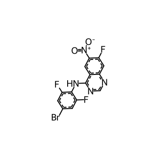 O=[N+]([O-])c1cc2c(Nc3c(F)cc(Br)cc3F)ncnc2cc1F